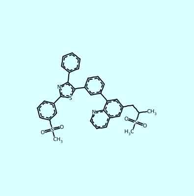 CC(Cc1cc(-c2cccc(-c3sc(-c4cccc(S(C)(=O)=O)c4)nc3-c3ccccc3)c2)c2ncccc2c1)S(C)(=O)=O